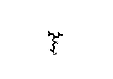 CC(C)CC(CC(C)C)OC(=O)C=CC(=O)O